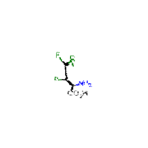 N/C(C(=O)O)=C(/F)C(F)F